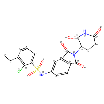 CCc1cccc(S(=O)(=O)Nc2ccc3c(c2)C(=O)N(C2CCC(=O)NC2=O)C3=O)c1Cl